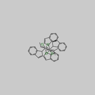 C[CH]=[Hf]([Cl])([Cl])([CH]1C=Cc2ccccc21)([CH]1C=Cc2ccccc21)[Hf]([Cl])([Cl])([CH]1C=Cc2ccccc21)([CH]1C=Cc2ccccc21)[SiH](C)C